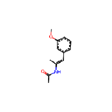 COc1cccc(/C=C(\C)NC(C)=O)c1